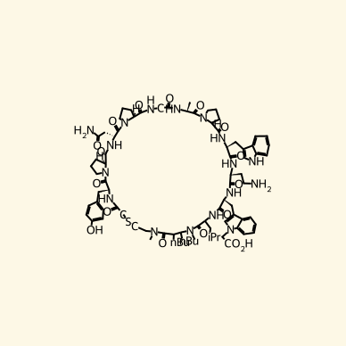 CCCCC1C(=O)N(C)CCSCC(=O)N[C@@H](Cc2ccc(O)cc2)C(=O)N2CCC[C@H]2C(=O)N[C@H](CC(N)=O)C(=O)N2CCC[C@@H]2C(=O)NCC(=O)N[C@@H](C)C(=O)N2CCC[C@H]2C(=O)N[C@@H](Cc2c[nH]c3ccccc23)C(=O)N[C@@H](CCN)C(=O)N[C@@H](Cc2cn(CC(=O)O)c3ccccc23)C(=O)NC(CC(C)C)C(=O)N(C)C1CCCC